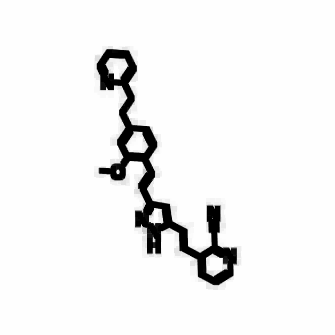 COc1cc(CCc2ccccn2)ccc1/C=C/c1cc(/C=C/c2cccnc2C#N)[nH]n1